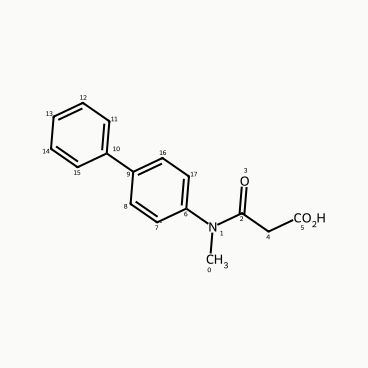 CN(C(=O)CC(=O)O)c1[c]cc(-c2ccccc2)cc1